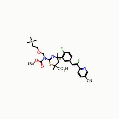 CC(C)(C)OC(=O)N(COCC[Si](C)(C)C)C1=N[C@](C)(c2cc(/C=C(\F)c3ccc(C#N)cn3)ccc2F)CC(C)(C(=O)O)S1